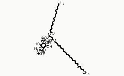 CCCCCCCCCCCCCCCC(=O)O[C@@H](COP(=O)(O)OC1C(O)[C@H](O)C(OP(=O)(O)O)[C@H](C)[C@@H]1O)CC(=O)OCCCCCCCCCCCCCCCCSC(=O)CCC